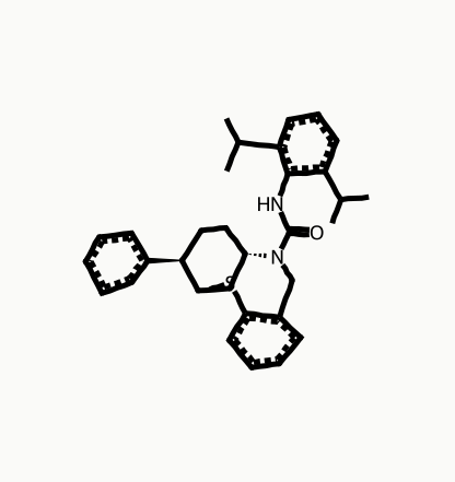 CSc1ccccc1CN(C(=O)Nc1c(C(C)C)cccc1C(C)C)[C@H]1CC[C@H](c2ccccc2)CC1